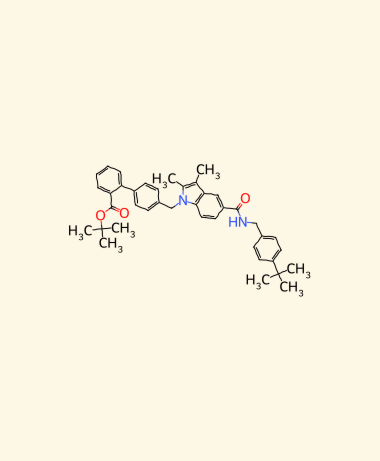 Cc1c(C)n(Cc2ccc(-c3ccccc3C(=O)OC(C)(C)C)cc2)c2ccc(C(=O)NCc3ccc(C(C)(C)C)cc3)cc12